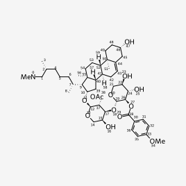 CNC[C@H](C)CCC[C@@H](C)[C@H]1[C@@H](O[C@@H]2OC[C@H](O)[C@H](O[C@@H]3OC[C@@H](O)[C@H](O)[C@H]3OC(=O)c3ccc(OC)cc3)[C@H]2OC(C)=O)C[C@H]2[C@@H]3CC=C4C[C@@H](O)CC[C@]4(C)[C@H]3CC[C@]12C